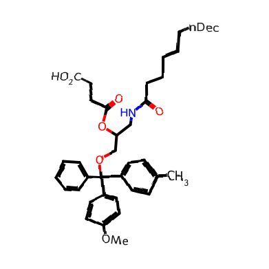 CCCCCCCCCCCCCCCC(=O)NCC(COC(c1ccccc1)(c1ccc(C)cc1)c1ccc(OC)cc1)OC(=O)CCC(=O)O